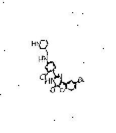 O=c1[nH]c(-c2ccc(NCC3CCCNC3)cc2Cl)nc2c1oc1ccc(Br)cc12